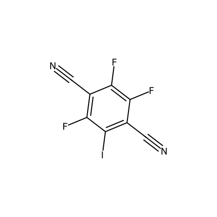 N#Cc1c(F)c(F)c(C#N)c(I)c1F